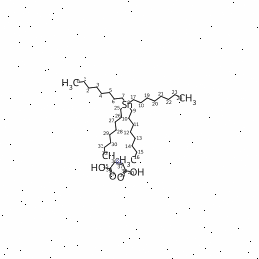 CCCCCCC[CH2][Sn]([CH2]CCCCCCC)([CH2]CCCCCCC)[CH2]CCCCCCC.O=C(O)/C=C\C(=O)O